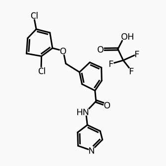 O=C(Nc1ccncc1)c1cccc(COc2cc(Cl)ccc2Cl)c1.O=C(O)C(F)(F)F